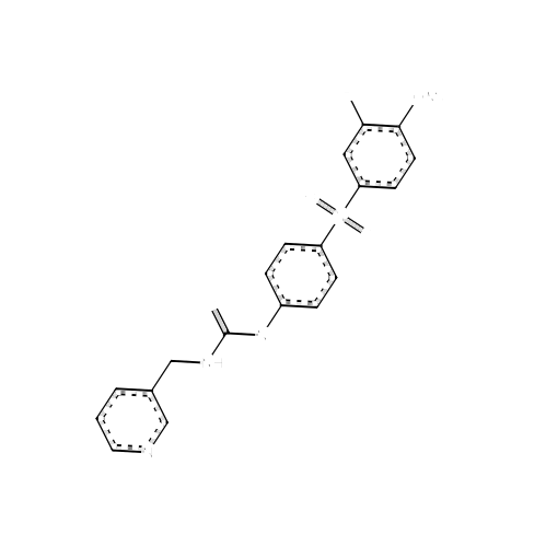 COc1ccc(S(=O)(=O)c2ccc(NC(=O)NCc3cccnc3)cc2)cc1F